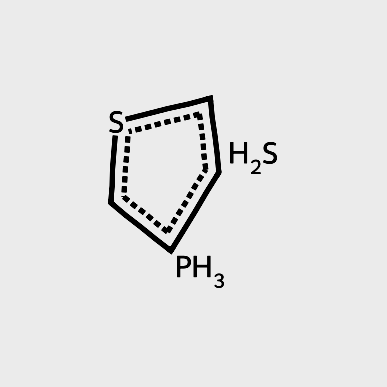 P.S.c1ccsc1